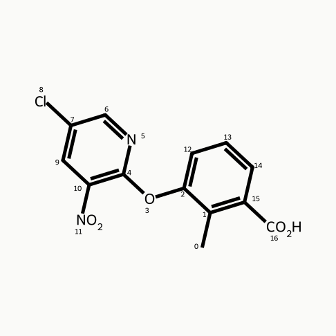 Cc1c(Oc2ncc(Cl)cc2[N+](=O)[O-])cccc1C(=O)O